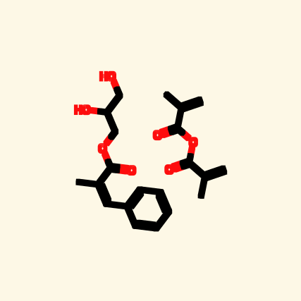 C=C(C)C(=O)OC(=O)C(=C)C.CC(=Cc1ccccc1)C(=O)OCC(O)CO